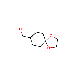 OCC1=CCC2(CC1)OCCO2